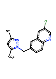 N#Cc1cc(C(=O)O)n(Cc2ccc3ncc(Cl)cc3c2)n1